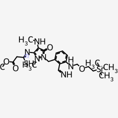 CNc1c(/N=C(\S)CC(=O)OC)n(C)n(Cc2cccc(NCOCC[Si](C)(C)C)c2C=N)c1=O